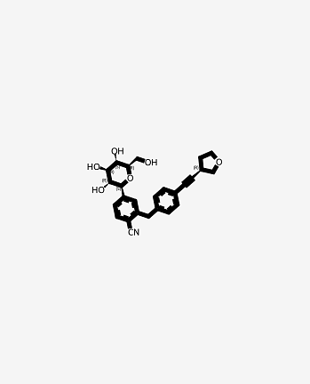 N#Cc1ccc([C@@H]2O[C@H](CO)[C@@H](O)[C@H](O)[C@H]2O)cc1Cc1ccc(C#C[C@H]2CCOC2)cc1